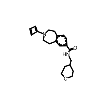 O=C(NCC1CCOCC1)c1ccc2c(c1)CCN(C1=CC=C1)CC2